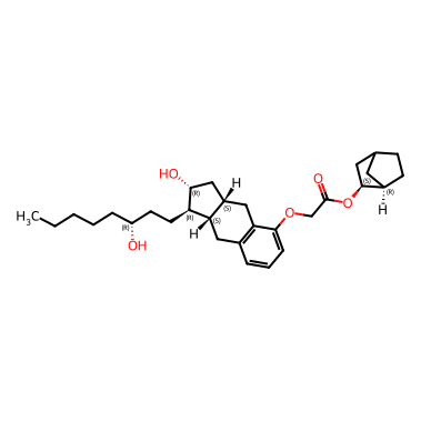 CCCCC[C@@H](O)CC[C@@H]1[C@H]2Cc3cccc(OCC(=O)O[C@H]4CC5CC[C@@H]4C5)c3C[C@H]2C[C@H]1O